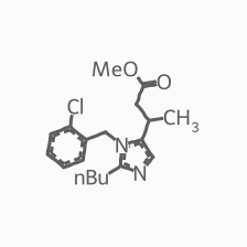 CCCCc1ncc(C(C)CC(=O)OC)n1Cc1ccccc1Cl